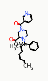 C=C/C=C\C=C(C)C(c1ccccc1)N1CCN(C(=O)c2cccnc2)CC1C(=O)OC